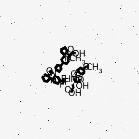 COc1ccc(S(=O)(=O)N[C@@H](CCC(=O)O)C(=O)O)cc1.C[C@](C(=O)O)(c1ccccc1)N1CCC(c2ccc(NC(=O)c3ccccc3-c3ccc(C(F)(F)F)cc3)cc2)CC1